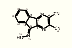 N#Cc1nc2c(nc1C#N)-c1ccccc1/C2=N\O